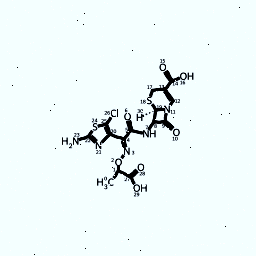 CC(ON=C(C(=O)NC1C(=O)N2C=C(C(=O)O)CS[C@H]12)c1nc(N)sc1Cl)C(=O)O